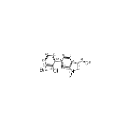 Cn1cc(C=O)c2ccc(-c3cccc(Br)c3Cl)nc21